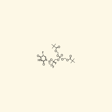 CC(C)(C)C(=O)OCOP(=O)(OCOC(=O)C(C)(C)C)OC[C@@]1(F)O[C@@H](n2cc(F)c(=O)[nH]c2=O)C[C@@H]1F